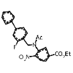 CCOC(=O)c1ccc([N+](=O)[O-])c(N(Cc2ccc(-c3ccccc3)cc2F)C(C)=O)c1